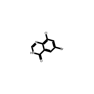 O=c1[nH]cnc2c(Cl)cc(Br)cc12